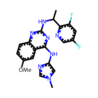 COc1ccc2nc(NC(C)c3ncc(F)cc3F)nc(Nc3cn(C)cn3)c2c1